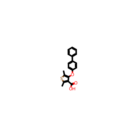 Cc1sc(C)c(C(=O)O)c1Oc1ccc(-c2ccccc2)cc1